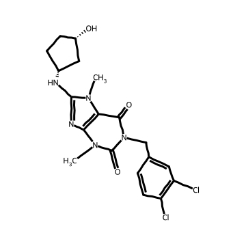 Cn1c(N[C@@H]2CC[C@H](O)C2)nc2c1c(=O)n(Cc1ccc(Cl)c(Cl)c1)c(=O)n2C